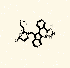 CCCc1nc(=O)ccn1Cc1c2ccocc-2c(Br)c1-c1ccccc1-c1nnn[nH]1